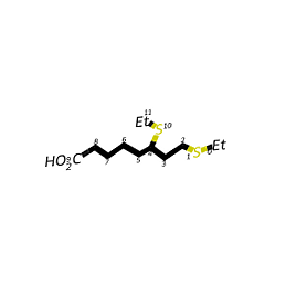 CCSCCC(CCCCC(=O)O)SCC